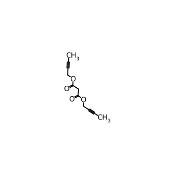 CC#CCOC(=O)CC(=O)OCC#CC